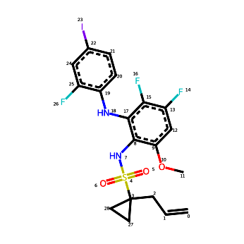 C=CCC1(S(=O)(=O)Nc2c(OC)cc(F)c(F)c2Nc2ccc(I)cc2F)CC1